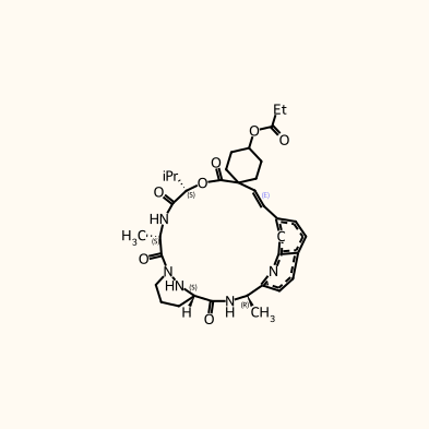 CCC(=O)OC1CCC2(/C=C/c3ccc4ccc(nc4c3)[C@@H](C)NC(=O)[C@@H]3CCCN(N3)C(=O)[C@H](C)NC(=O)[C@H](C(C)C)OC2=O)CC1